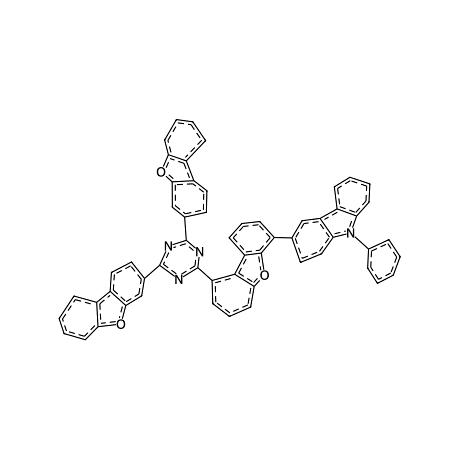 c1ccc(-n2c3ccccc3c3cc(-c4cccc5c4oc4cccc(-c6nc(-c7ccc8c(c7)oc7ccccc78)nc(-c7ccc8c(c7)oc7ccccc78)n6)c45)ccc32)cc1